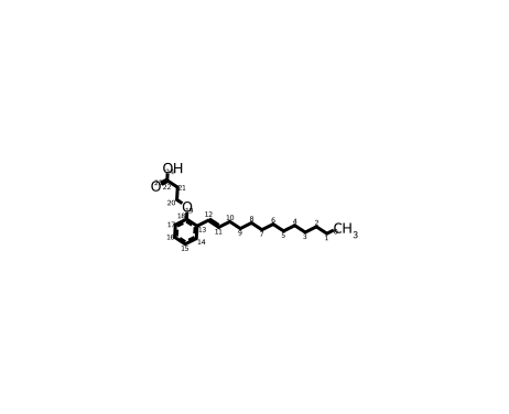 CCCCCCCCCCCC=Cc1ccccc1OCCC(=O)O